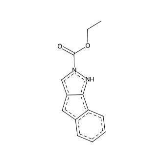 CCOC(=O)n1cc2cc3ccccc3c-2[nH]1